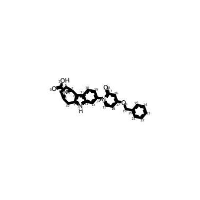 O=C(O)N1C2CCC1c1c([nH]c3cc(-n4ccc(OCc5ccccc5)cc4=O)ccc13)C2